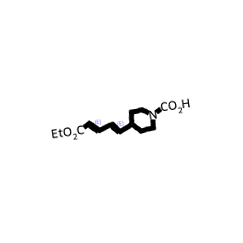 CCOC(=O)/C=C/C=C/C1CCN(C(=O)O)CC1